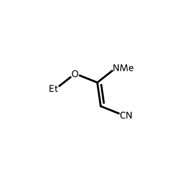 CCOC(=CC#N)NC